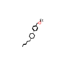 C/C=C/CC[C@H]1CC[C@H](c2ccc(COCC)cc2)CC1